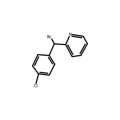 Clc1ccc(C(Br)c2ccccn2)cc1